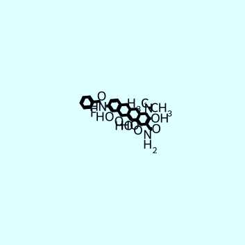 CN(C)C1C(O)=C(C(N)=O)C(=O)C2(O)C(O)=C3C(=O)c4c(ccc(NC(=O)c5ccccc5F)c4O)CC3CC12